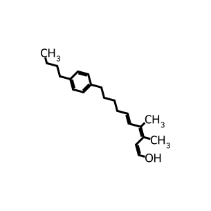 CCCCc1ccc(CCCC/C=C/C(C)=C(C)\C=C/O)cc1